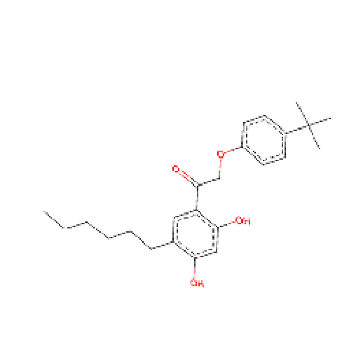 CCCCCCc1cc(C(=O)COc2ccc(C(C)(C)C)cc2)c(O)cc1O